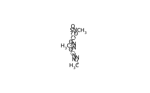 CCc1cnc(N2CCC(Oc3ncnc(Oc4cccc(C=C5SC(=O)N(CC)C5=O)c4)c3C)CC2)nc1